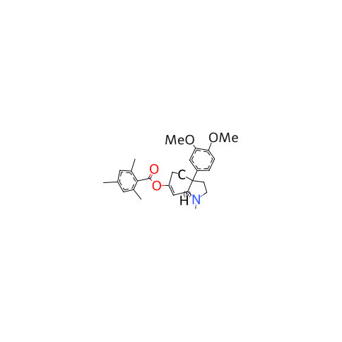 COc1ccc(C23CCC(OC(=O)c4c(C)cc(C)cc4C)=C[C@@H]2N(C)CC3)cc1OC